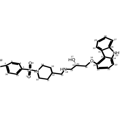 CCCCOc1ccc(S(=O)(=O)N2CCC(CNC[C@H](O)COc3cccc4[nH]c5ccccc5c34)CC2)cc1